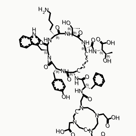 C[C@@H](O)[C@H](NC(=O)[C@@H]1CSSC[C@H](NC(=O)[C@H](Cc2ccccc2)NC(=O)CN2CCN(CC(=O)O)CCN(CC(=O)O)CCN(CC(=O)O)CC2)C(=O)N[C@H](Cc2ccc(O)cc2)C(=O)N[C@@H](Cc2c[nH]c3ccccc23)C(=O)N[C@H](CCCCN)C(=O)N[C@H]([C@@H](C)O)C(=O)N1)C(=O)O